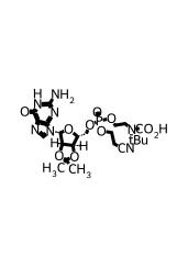 CC1(C)O[C@@H]2[C@H](O1)[C@@H](COP(=O)(OCCC#N)OCCN(C(=O)O)C(C)(C)C)O[C@H]2n1cnc2c(=O)[nH]c(N)nc21